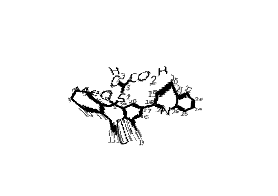 COC1(SC(C)C(=O)O)c2ccccc2COc2ccc(-c3ccc4ccccc4n3)cc21